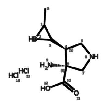 CC1BC1[C@H]1CNC[C@@]1(N)C(=O)O.Cl.Cl